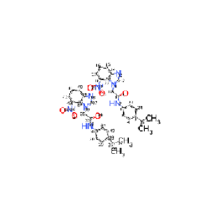 CC(C)c1ccc(NC(=O)Cn2cnc3cccc([N+](=O)[O-])c32)cc1.CC(C)c1ccc(NC(=O)Cn2cnc3cccc([N+](=O)[O-])c32)cc1